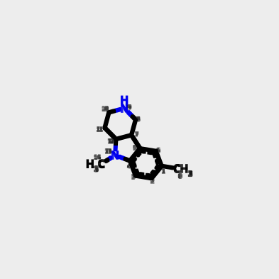 Cc1ccc2c(c1)C1CNCCC1N2C